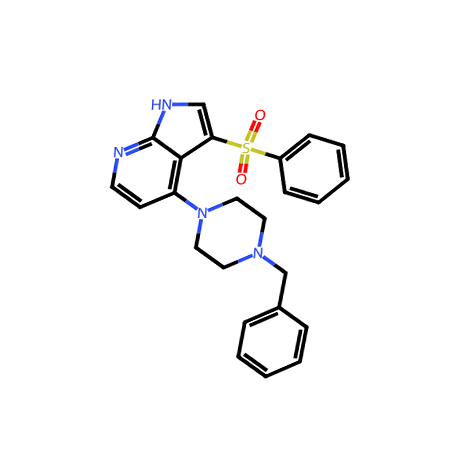 O=S(=O)(c1ccccc1)c1c[nH]c2nccc(N3CCN(Cc4ccccc4)CC3)c12